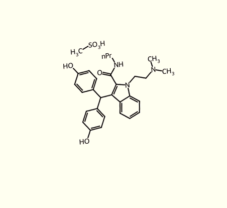 CCCNC(=O)c1c(C(c2ccc(O)cc2)c2ccc(O)cc2)c2ccccc2n1CCN(C)C.CS(=O)(=O)O